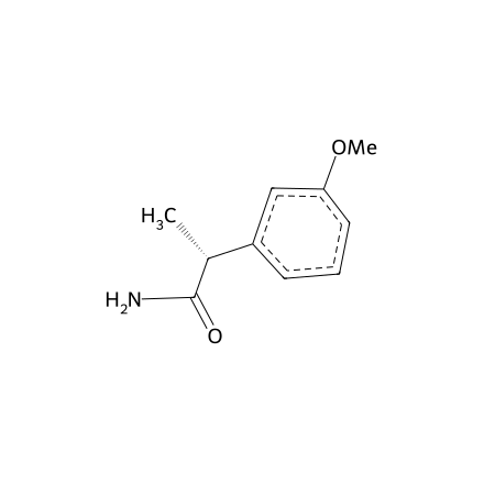 COc1cccc([C@@H](C)C(N)=O)c1